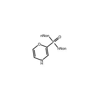 CCCCCCCCCP(=O)(CCCCCCCCC)C1=CNC=CO1